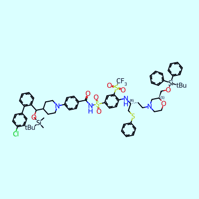 CC(C)(C)[Si](C)(C)OC(c1ccccc1-c1ccc(Cl)cc1)C1CCN(c2ccc(C(=O)NS(=O)(=O)c3ccc(N[C@H](CCN4CCO[C@H](CO[Si](c5ccccc5)(c5ccccc5)C(C)(C)C)C4)CSc4ccccc4)c(S(=O)(=O)C(F)(F)F)c3)cc2)CC1